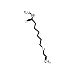 C=CCOCCCCCCC(=O)NC(C)(C)C